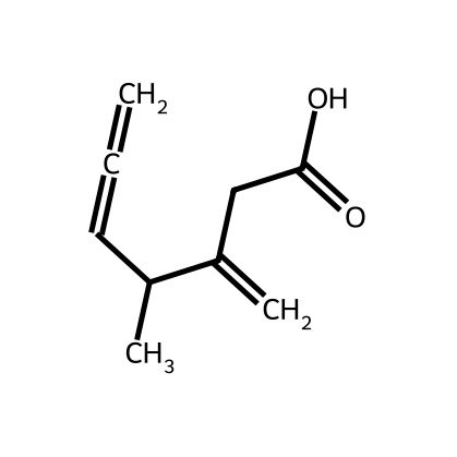 C=C=CC(C)C(=C)CC(=O)O